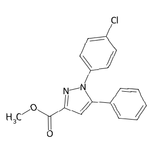 COC(=O)c1cc(-c2ccccc2)n(-c2ccc(Cl)cc2)n1